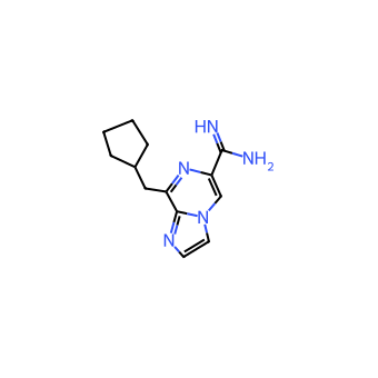 N=C(N)c1cn2ccnc2c(CC2CCCC2)n1